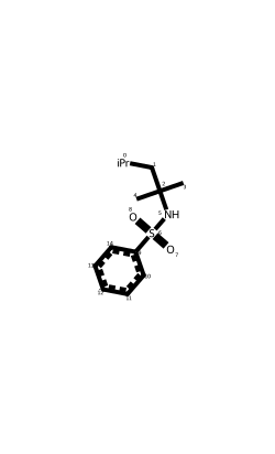 CC(C)CC(C)(C)NS(=O)(=O)c1cc[c]cc1